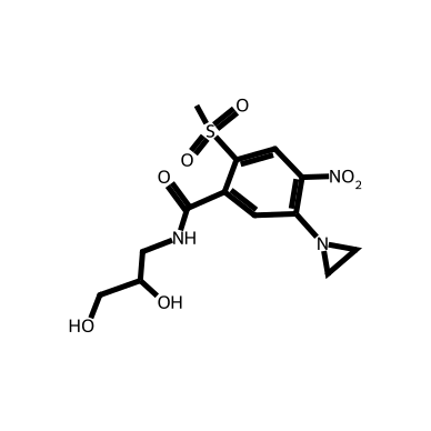 CS(=O)(=O)c1cc([N+](=O)[O-])c(N2CC2)cc1C(=O)NCC(O)CO